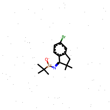 CC1(C)Cc2cc(Br)ccc2C1=N[S+]([O-])C(C)(C)C